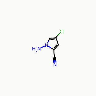 N#Cc1cc(Cl)cn1N